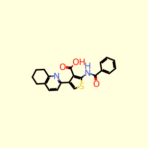 O=C(Nc1scc(-c2ccc3c(n2)CCCC3)c1C(=O)O)c1ccccc1